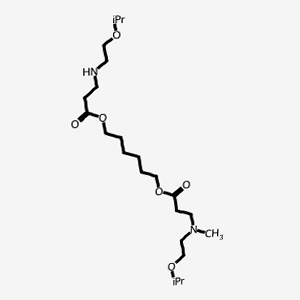 CC(C)OCCNCCC(=O)OCCCCCCOC(=O)CCN(C)CCOC(C)C